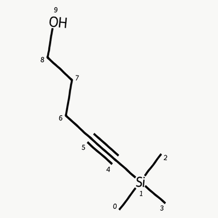 C[Si](C)(C)C#CCCCO